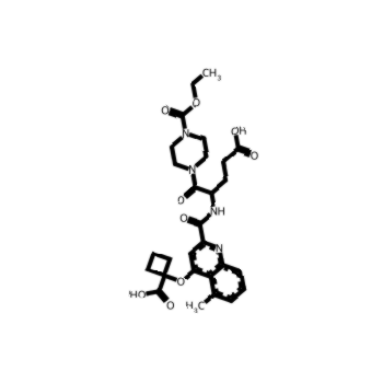 CCOC(=O)N1CCN(C(=O)C(CCC(=O)O)NC(=O)c2cc(OC3(C(=O)O)CCC3)c3c(C)cccc3n2)CC1